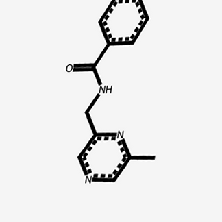 Cc1cncc(CNC(=O)c2ccccc2)n1